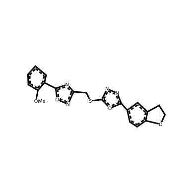 COc1ccccc1-c1nc(CSc2nnc(-c3ccc4c(c3)CCO4)o2)no1